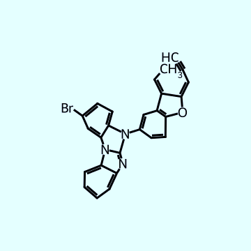 C#C/C=c1/oc2ccc(-n3c4ccc(Br)cc4n4c5ccccc5nc34)cc2/c1=C/C